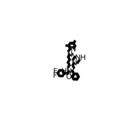 CCCCCN(Cc1ncc(C)cc1C)C[C@H]1CN(CC[C@H](NC(=O)C2CCC(F)(F)CC2)c2ccccc2)CCN1